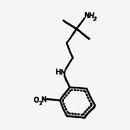 CC(C)(N)CCNc1ccccc1[N+](=O)[O-]